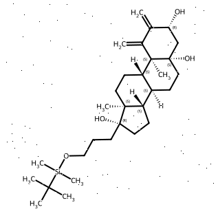 C=C1C(=C)[C@]2(C)[C@H]3CC[C@@]4(C)[C@@H](CC[C@@]4(O)CCCO[Si](C)(C)C(C)(C)C)[C@@H]3CC[C@]2(O)C[C@H]1O